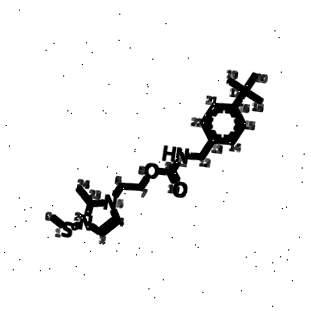 CSN1C=CN(CCOC(=O)NCc2ccc(C(C)(C)C)cc2)C1C